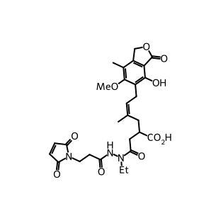 CCN(NC(=O)CCN1C(=O)C=CC1=O)C(=O)CC(CC(C)=CCc1c(O)c2c(c(C)c1OC)COC2=O)C(=O)O